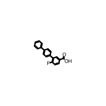 O=C(O)c1ccc(F)c(-c2ccc(-c3ccccc3)cc2)c1